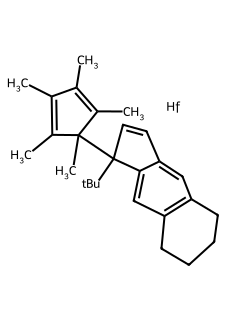 CC1=C(C)C(C)(C2(C(C)(C)C)C=Cc3cc4c(cc32)CCCC4)C(C)=C1C.[Hf]